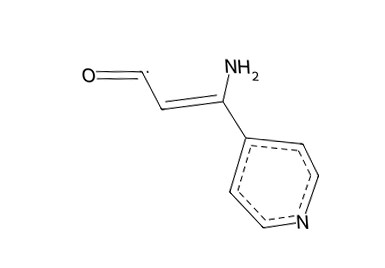 N/C(=C\[C]=O)c1ccncc1